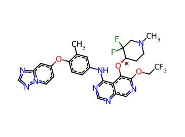 Cc1cc(Nc2ncnc3cnc(OCC(F)(F)F)c(O[C@@H]4CCN(C)CC4(F)F)c23)ccc1Oc1ccn2ncnc2c1